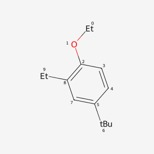 CCOc1ccc(C(C)(C)C)cc1CC